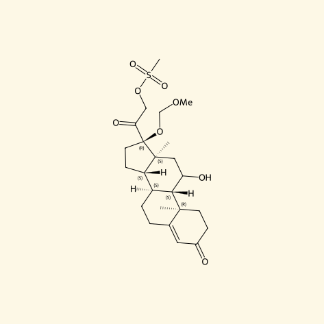 COCO[C@]1(C(=O)COS(C)(=O)=O)CC[C@H]2[C@@H]3CCC4=CC(=O)CC[C@]4(C)[C@H]3C(O)C[C@@]21C